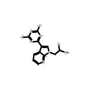 CCCCC(CC)Cn1cc(-c2nc(Cl)nc(Cl)n2)c2cccnc21